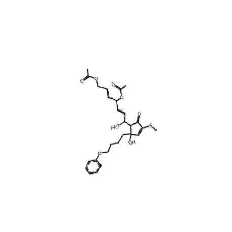 CSC1=CC(O)(CCCCOc2ccccc2)C(C(O)/C=C/C(CCCOC(C)=O)OC(C)=O)C1=O